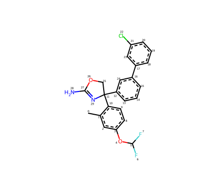 Cc1cc(OC(F)F)ccc1C1(c2cccc(-c3cccc(Cl)c3)c2)COC(N)=N1